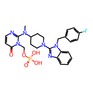 CN(c1nccc(=O)n1COP(=O)(O)O)C1CCN(c2nc3ccccc3n2Cc2ccc(F)cc2)CC1